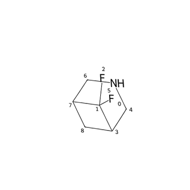 FC1(F)C2CNCC1C2